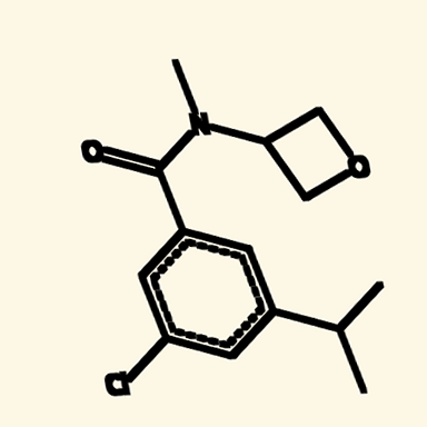 CC(C)c1cc(Cl)cc(C(=O)N(C)C2COC2)c1